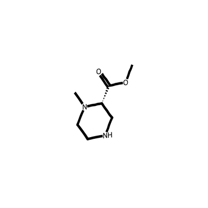 COC(=O)[C@@H]1CNCCN1C